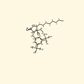 CCCCCCCCC1OC(=O)N(Cc2cc(C(F)(F)F)cc(C(F)(F)F)c2)C1(Cl)CC